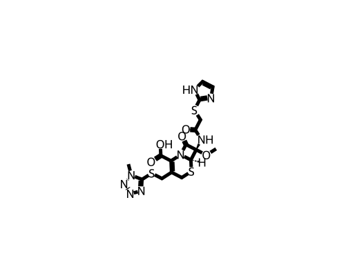 CO[C@@]1(NC(=O)CSc2ncc[nH]2)C(=O)N2C(C(=O)O)=C(CSc3nnnn3C)CS[C@@H]21